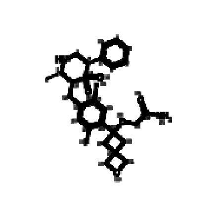 C[C@@H]1NC[C@@H](c2ccccc2)S(=O)(=O)C1Cc1cc(F)c(C2(OCC(N)=O)CC3(COC3)C2)cc1F